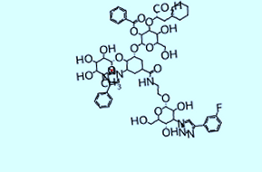 CC1O[C@@H](OC2C(n3cc(-c4ccccc4)nn3)CC(C(=O)NCCO[C@H]3OC(CO)[C@@H](O)C(n4cc(-c5cccc(F)c5)nn4)C3O)C[C@H]2O[C@@H]2OC(CO)[C@H](O)C(O[C@@H](CC3CCCCC3)C(=O)O)C2OC(=O)c2ccccc2)C(O)C(O)[C@@H]1O